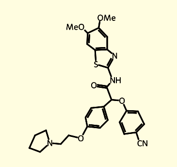 COc1cc2nc(NC(=O)C(Oc3ccc(C#N)cc3)c3ccc(OCCN4CCCC4)cc3)sc2cc1OC